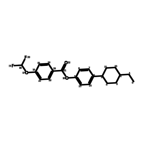 CCC1CCC(c2ccc(OC(=O)c3ccc(OC(F)F)cc3)cc2)CC1